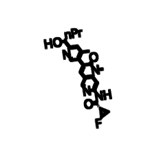 CCC[C@H](O)c1cc(C)c(-c2cc3cnc(NC(=O)[C@@H]4C[C@@H]4F)cc3n(C)c2=O)cn1